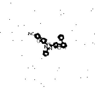 N#Cc1ccc2c(c1)oc1cc(-c3nc(-c4ccccc4)nc(-c4ccc5c(c4)oc4cccc(-c6ccccc6)c45)n3)ccc12